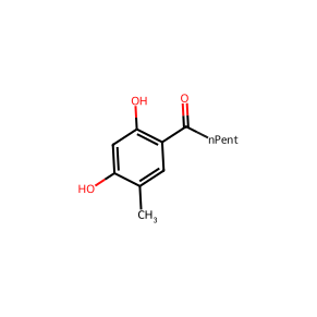 CCCCCC(=O)c1cc(C)c(O)cc1O